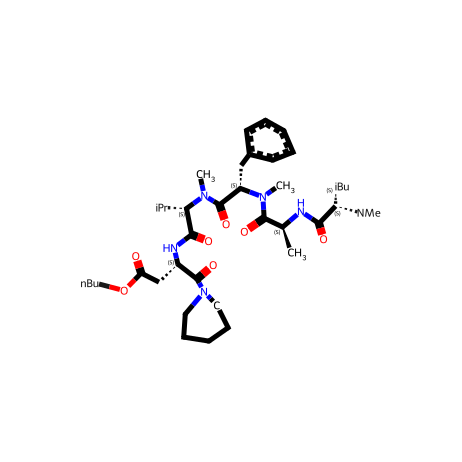 CCCCOC(=O)C[C@H](NC(=O)[C@H](C(C)C)N(C)C(=O)[C@H](Cc1ccccc1)N(C)C(=O)[C@H](C)NC(=O)[C@@H](NC)[C@@H](C)CC)C(=O)N1CCCCC1